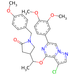 COc1ccc(CN2CC(C(C)Oc3nc(-c4ccc(OC)c(OC)c4)cn4ncc(Cl)c34)CC2=O)cc1